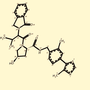 Cc1cc(-c2scnc2C)ccc1CNC(=O)[C@@H]1C[C@@H](O)CN1C(=O)C(C(C)C)N1Cc2ccccc2C1=O